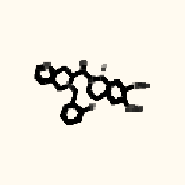 COc1cc2c(cc1OC)[C@@H](C)N(C(=O)C1Cc3ncccc3CN1Cc1ccccc1F)CC2